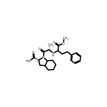 COC(=O)C(CCc1ccccc1)N[C@@H](C)C(=O)N1C2CCCCC2C[C@H]1C(=O)O